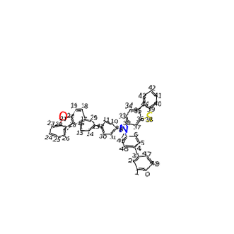 c1ccc(-c2ccc(N(c3ccc(-c4ccc5c(ccc6oc7ccccc7c65)c4)cc3)c3ccc4c(c3)sc3ccccc34)cc2)cc1